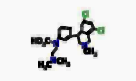 CN(C)CCN(C(=O)O)c1cccc(C2CN(C)Cc3c(Cl)cc(Cl)cc32)c1